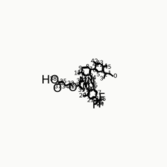 CCC(C)c1cc(-c2ccc(C)cc2CN(Cc2cc(C)cc(C(F)(F)F)c2)c2ncc(OCCCC(=O)O)cn2)c(C)cc1C